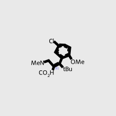 CNC/C(C(=O)O)=C(\c1cc(Cl)ccc1OC)C(C)(C)C